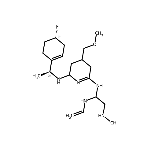 C=CNC(CNC)NC1=NC(N[C@@H](C)C2=CC[C@@H](F)CC2)CC(COC)C1